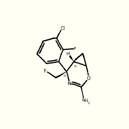 NC1=N[C@](CF)(c2cccc(Cl)c2F)[C@@H]2CC2O1